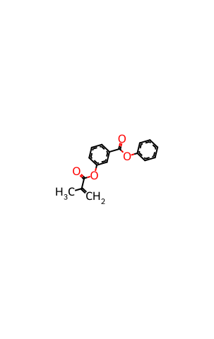 C=C(C)C(=O)Oc1cccc(C(=O)Oc2ccccc2)c1